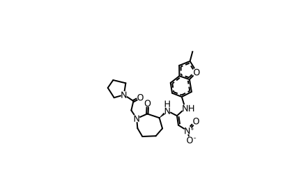 Cc1cc2ccc(NC(=C[N+](=O)[O-])N[C@H]3CCCCN(CC(=O)N4CCCC4)C3=O)cc2o1